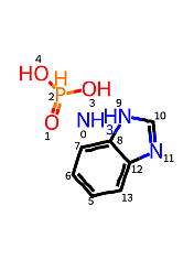 N.O=[PH](O)O.c1ccc2[nH]cnc2c1